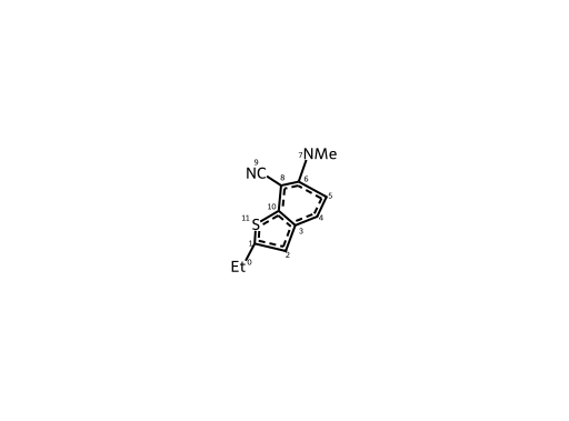 CCc1cc2ccc(NC)c(C#N)c2s1